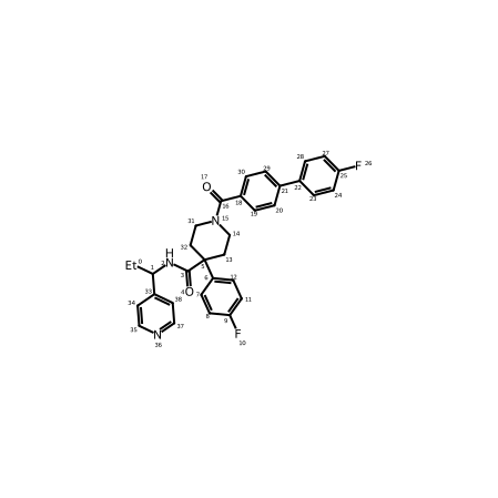 CCC(NC(=O)C1(c2ccc(F)cc2)CCN(C(=O)c2ccc(-c3ccc(F)cc3)cc2)CC1)c1ccncc1